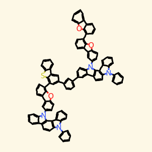 c1ccc(-n2c3ccccc3c3c2ccc2c4ccccc4n(-c4ccc5oc6c(-c7cc(-c8cccc(-c9ccc%10c(c9)c9ccc%11c(c%12ccccc%12n%11-c%11ccccc%11)c9n%10-c9ccc%10oc%11c(-c%12cccc%13c%12oc%12ccccc%12%13)cccc%11c%10c9)c8)cc8c7sc7ccccc78)cccc6c5c4)c23)cc1